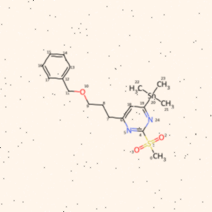 CS(=O)(=O)c1nc(CCCOCc2ccccc2)c[c]([Sn]([CH3])([CH3])[CH3])n1